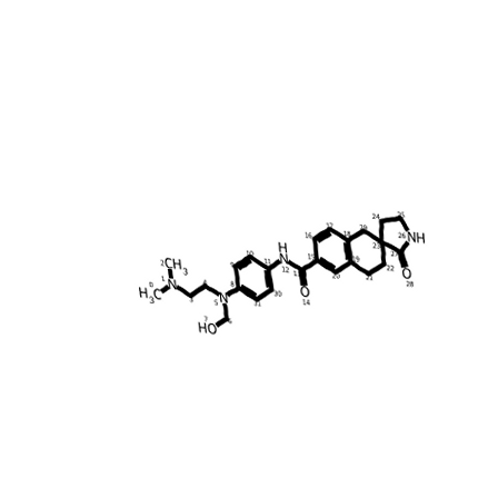 CN(C)CCN(CO)c1ccc(NC(=O)c2ccc3c(c2)CCC2(CCNC2=O)C3)cc1